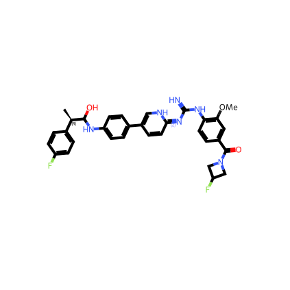 COc1cc(C(=O)N2CC(F)C2)ccc1NC(=N)/N=c1/ccc(-c2ccc(NC(O)[C@H](C)c3ccc(F)cc3)cc2)c[nH]1